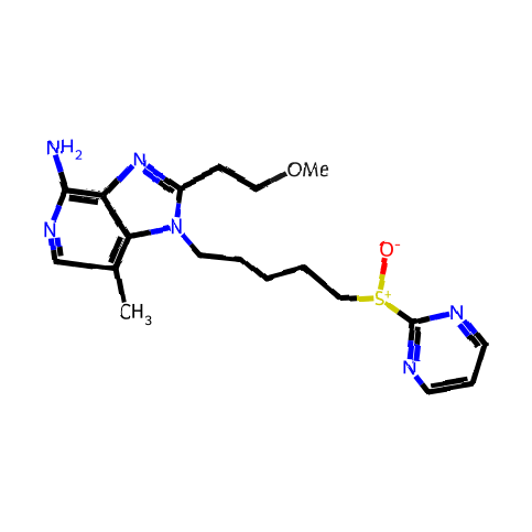 COCCc1nc2c(N)ncc(C)c2n1CCCCC[S+]([O-])c1ncccn1